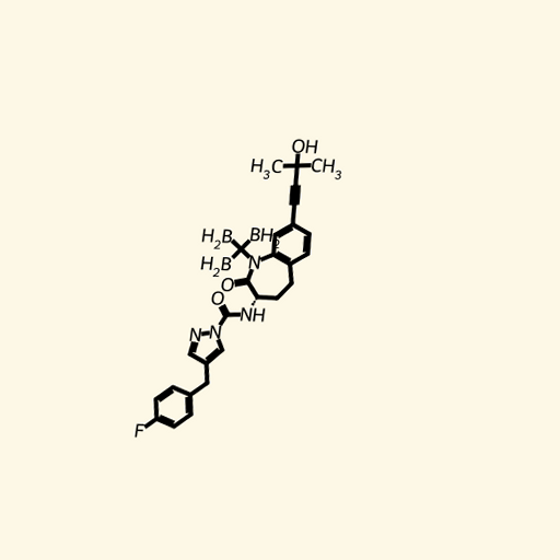 BC(B)(B)N1C(=O)[C@@H](NC(=O)n2cc(Cc3ccc(F)cc3)cn2)CCc2ccc(C#CC(C)(C)O)cc21